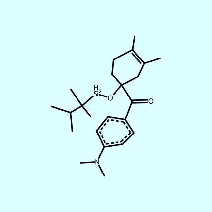 CC1=C(C)CC(O[SiH2]C(C)(C)C(C)C)(C(=O)c2ccc(N(C)C)cc2)CC1